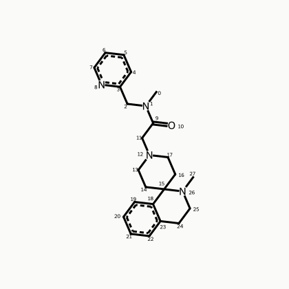 CN(Cc1ccccn1)C(=O)CN1CCC2(CC1)c1ccccc1CCN2C